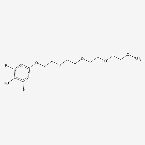 COCCOCCOCCOCCOc1cc(F)c(O)c(F)c1